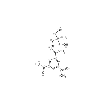 CC(=O)c1cc(C(C)=O)cc(C(C)=O)c1.NC(CO)(CO)CO